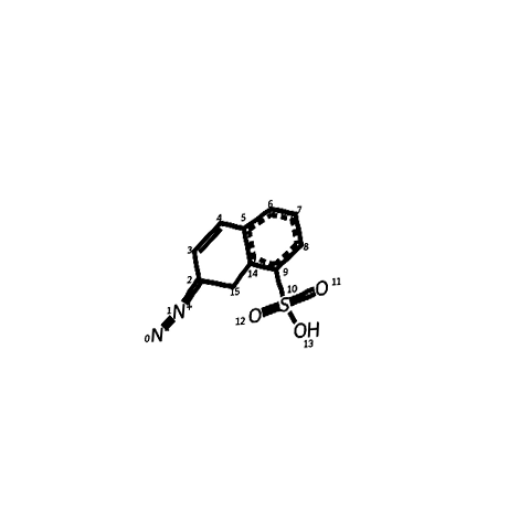 [N-]=[N+]=C1C=Cc2cccc(S(=O)(=O)O)c2C1